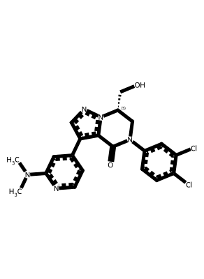 CN(C)c1cc(-c2cnn3c2C(=O)N(c2ccc(Cl)c(Cl)c2)C[C@H]3CO)ccn1